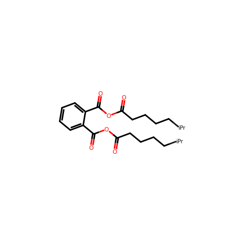 CC(C)CCCCC(=O)OC(=O)c1ccccc1C(=O)OC(=O)CCCCC(C)C